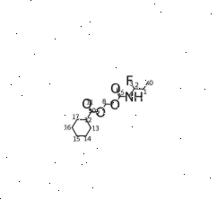 [CH2]CC(F)NC(=O)OCOC(=O)C1CCCCC1